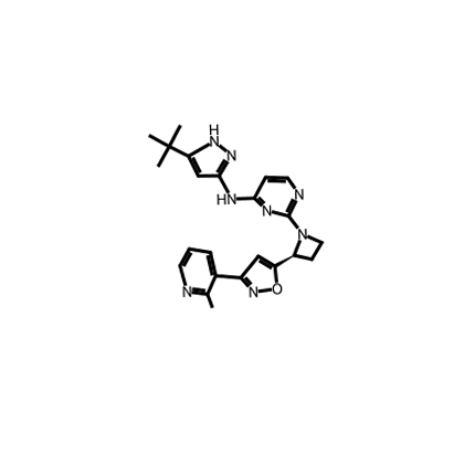 Cc1ncccc1-c1cc([C@@H]2CCN2c2nccc(Nc3cc(C(C)(C)C)[nH]n3)n2)on1